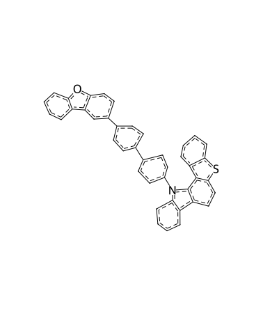 c1ccc2c(c1)oc1ccc(-c3ccc(-c4ccc(-n5c6ccccc6c6ccc7sc8ccccc8c7c65)cc4)cc3)cc12